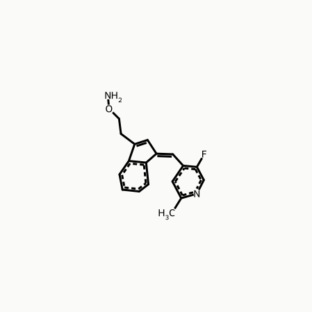 Cc1cc(/C=C2/C=C(CCON)c3ccccc32)c(F)cn1